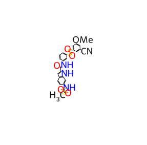 COc1cc(C#N)cc(S(=O)(=O)c2cccc(NC(=O)c3cc4ccc(NS(C)(=O)=O)cc4[nH]3)c2)c1